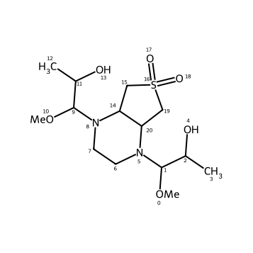 COC(C(C)O)N1CCN(C(OC)C(C)O)C2CS(=O)(=O)CC21